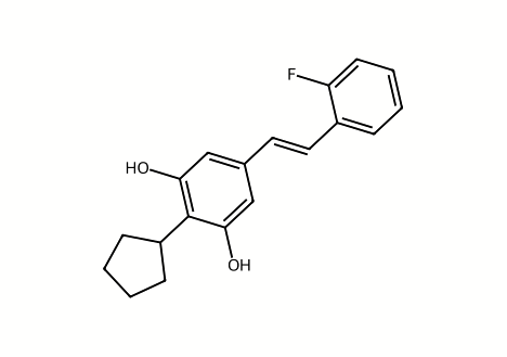 Oc1cc(/C=C/c2ccccc2F)cc(O)c1C1CCCC1